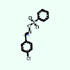 O=S(=O)(O/N=[C]/c1ccc(Cl)cc1)c1ccccc1